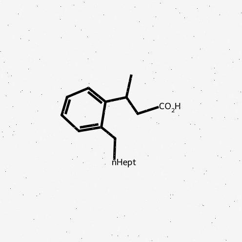 CCCCCCCCc1ccccc1C(C)CC(=O)O